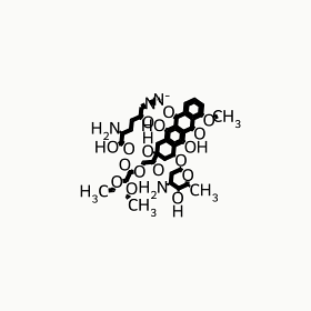 CCOC(OCC)C(=O)OCC(=O)[C@]1(O)Cc2c(O)c3c(c(O)c2[C@@H](O[C@H]2C[C@H](N)[C@H](O)[C@H](C)O2)C1)C(=O)c1c(OC)cccc1C3=O.[N-]=[N+]=CC(=O)CC[C@H](N)C(=O)O